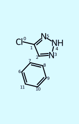 Clc1cn[nH]n1.c1ccccc1